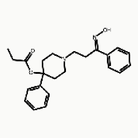 CCC(=O)OC1(c2ccccc2)CCN(CCC(=NO)c2ccccc2)CC1